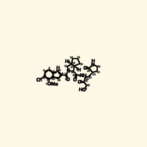 COc1c(Cl)ccc2[nH]c(C(=O)N3C[C@@H]4CCC[C@@H]4[C@H]3C(=O)NC(C[C@@H]3CCNC3=O)C(=O)CO)cc12